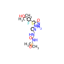 CC(C)(O)c1ccc(-c2cc(C(N)=O)c(Nc3cccc(CNCC(=O)NCCP(C)(C)=O)n3)s2)c(F)c1